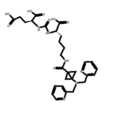 O=C(O)CC[C@H](NC(=O)N[C@@H](CCCCNC(=O)C12CC1(N(Cc1ccccn1)Cc1ccccn1)C2)C(=O)O)C(=O)O